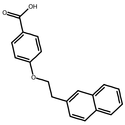 O=C(O)c1ccc(OCCc2ccc3ccccc3c2)cc1